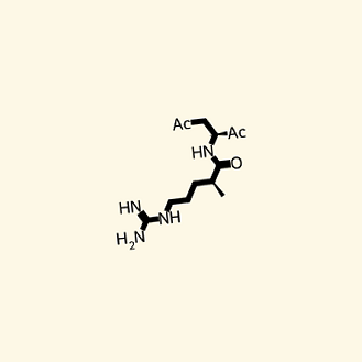 CC(=O)C[C@H](NC(=O)[C@@H](C)CCCNC(=N)N)C(C)=O